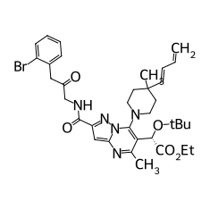 C=C/C=C/C1(C)CCN(c2c([C@H](OC(C)(C)C)C(=O)OCC)c(C)nc3cc(C(=O)NCC(=O)Cc4ccccc4Br)nn23)CC1